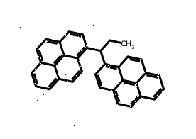 CCC(c1ccc2ccc3cccc4ccc1c2c34)c1ccc2ccc3cccc4ccc1c2c34